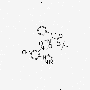 CC(C)(C)OC(=O)C(Cc1ccccc1)N1CON(c2cc(Cl)ccc2-n2ccnn2)CO1